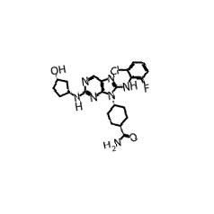 NC(=O)[C@H]1CC[C@H](n2c(Nc3c(F)cccc3Cl)nc3cnc(N[C@H]4CC[C@H](O)C4)nc32)CC1